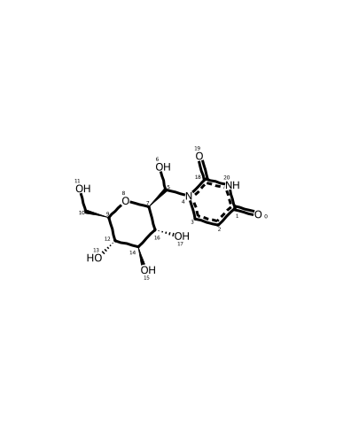 O=c1ccn(C(O)[C@@H]2O[C@H](CO)[C@@H](O)[C@H](O)[C@H]2O)c(=O)[nH]1